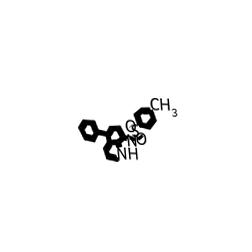 Cc1ccc(S(=O)(=O)Nc2ccc(-c3ccccc3)c3cccnc23)cc1